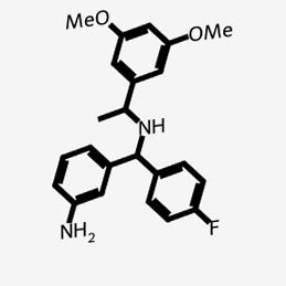 COc1cc(OC)cc(C(C)NC(c2ccc(F)cc2)c2cccc(N)c2)c1